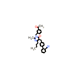 CCCCc1nc(C)n(Cc2cccc(C(C)=O)c2)c(=O)c1Cc1ccc(-c2ccccc2C#N)cc1